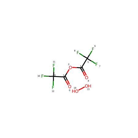 O=C(OC(=O)C(F)(F)F)C(F)(F)F.OO